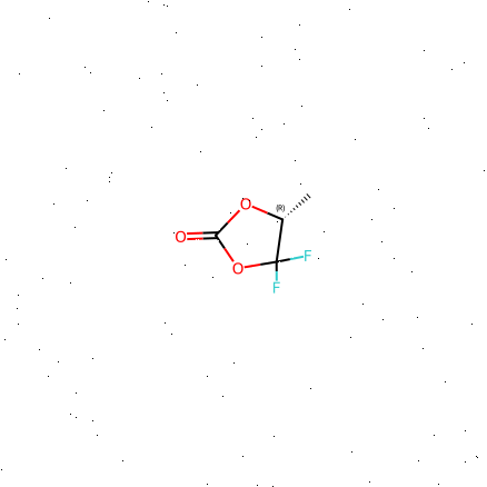 C[C@H]1OC(=O)OC1(F)F